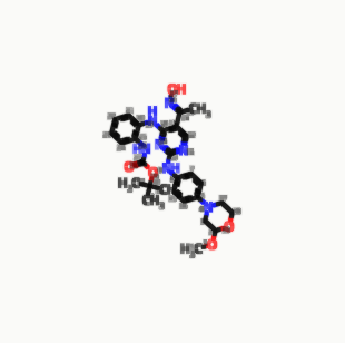 COC1CN(c2ccc(Nc3ncc(C(C)=NO)c(Nc4ccccc4NC(=O)OC(C)(C)C)n3)cc2)CCO1